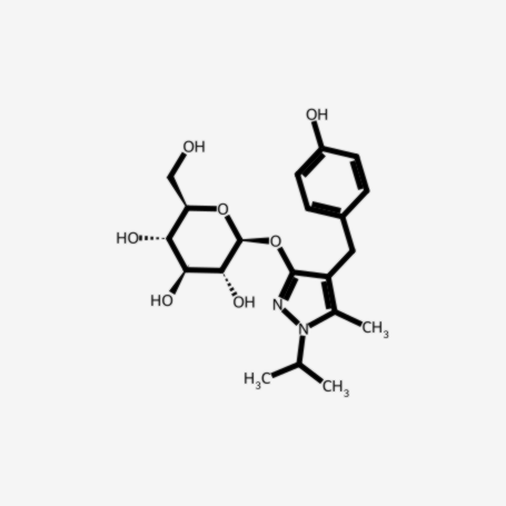 Cc1c(Cc2ccc(O)cc2)c(O[C@@H]2O[C@H](CO)[C@@H](O)[C@H](O)[C@H]2O)nn1C(C)C